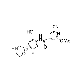 COc1cc(C(=O)Nc2ccc([C@H]3CNCCO3)c(F)c2)cc(C#N)n1.Cl